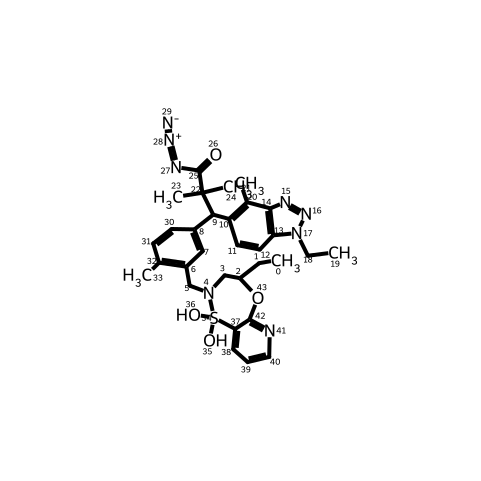 CCC1CN(Cc2cc(C(c3ccc4c(nnn4CC)c3C)C(C)(C)C(=O)N=[N+]=[N-])ccc2C)S(O)(O)c2cccnc2O1